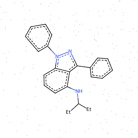 CCC(CC)Nc1cccc2c1c(-c1ccccc1)nn2-c1ccccc1